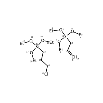 C=CC[Si](OCC)(OCC)OCC.CCO[Si](CCCCl)(OCC)OCC